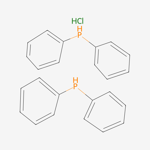 Cl.c1ccc(Pc2ccccc2)cc1.c1ccc(Pc2ccccc2)cc1